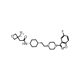 CC1(CC(=O)N[C@H]2CC[C@H](CCN3CCN(c4noc5ccc(F)cc45)CC3)CC2)COC1